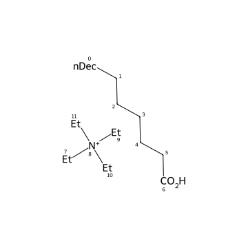 CCCCCCCCCCCCCCCC(=O)O.CC[N+](CC)(CC)CC